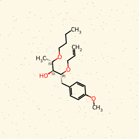 C=CCO[C@H](Cc1ccc(OC)cc1)[C@@H](O)[C@H](C)OCCCC